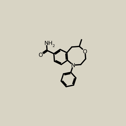 CC1Cc2cc(C(N)=O)ccc2N(c2ccccc2)CCO1